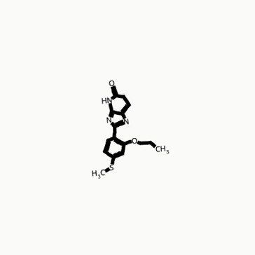 CCCOc1cc(SC)ccc1C1=NC2=CCC(=O)NC2=N1